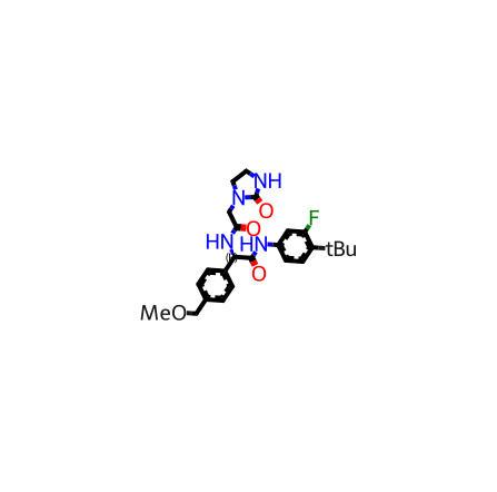 COCc1ccc([C@@H](NC(=O)CN2CCNC2=O)C(=O)Nc2ccc(C(C)(C)C)c(F)c2)cc1